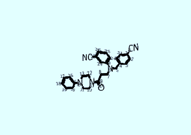 N#Cc1ccc(CN(CCC(=O)N2CCN(c3ccccc3)CC2)c2cccc(C#N)c2)cc1